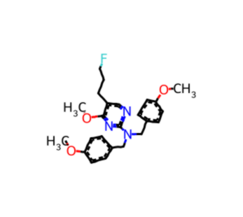 COc1ccc(CN(Cc2ccc(OC)cc2)c2ncc(CCCF)c(OC)n2)cc1